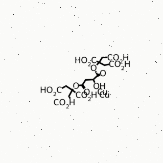 O=C(O)CC(CC(=O)O)(OC(=O)CC(O)C(=O)OC(CC(=O)O)(CC(=O)O)C(=O)O)C(=O)O.[Cu].[Cu]